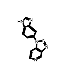 c1cc2c(cn1)nnn2-c1ccc2[nH]cnc2c1